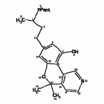 CCCCCC(C)CCc1cc(O)c2c(c1)OC(C)(C)c1ccncc1-2